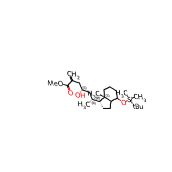 C=C(C[C@@H](O)C[C@@H](C)[C@H]1CCC2C(O[Si](C)(C)C(C)(C)C)CCC[C@]21C)C(=O)OC